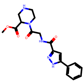 COC(=O)C1CNCCN1C(=O)CNC(=O)c1cc(-c2ccccc2)[nH]n1